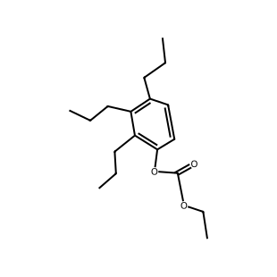 CCCc1ccc(OC(=O)OCC)c(CCC)c1CCC